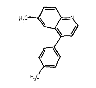 Cc1ccc(-c2ccnc3ccc(C)cc23)cc1